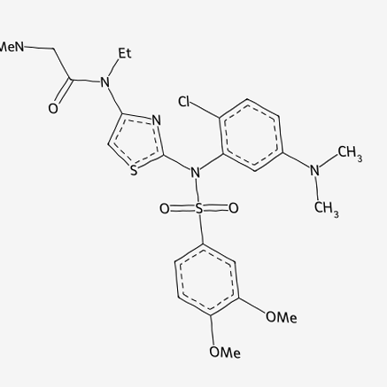 CCN(C(=O)CNC)c1csc(N(c2cc(N(C)C)ccc2Cl)S(=O)(=O)c2ccc(OC)c(OC)c2)n1